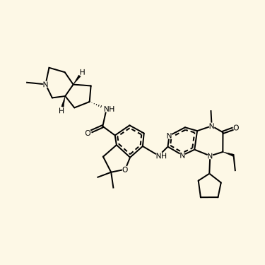 CC[C@@H]1C(=O)N(C)c2cnc(Nc3ccc(C(=O)N[C@H]4C[C@H]5CCN(C)C[C@H]5C4)c4c3OC(C)(C)C4)nc2N1C1CCCC1